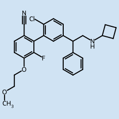 COCCOc1ccc(C#N)c(-c2cc(C(CNC3CCC3)c3ccccc3)ccc2Cl)c1F